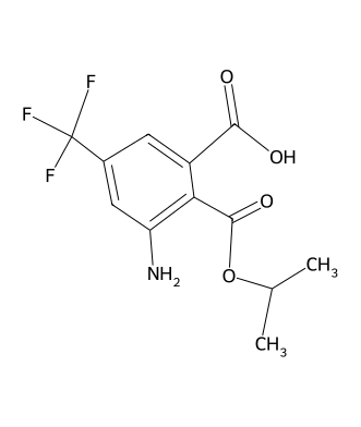 CC(C)OC(=O)c1c(N)cc(C(F)(F)F)cc1C(=O)O